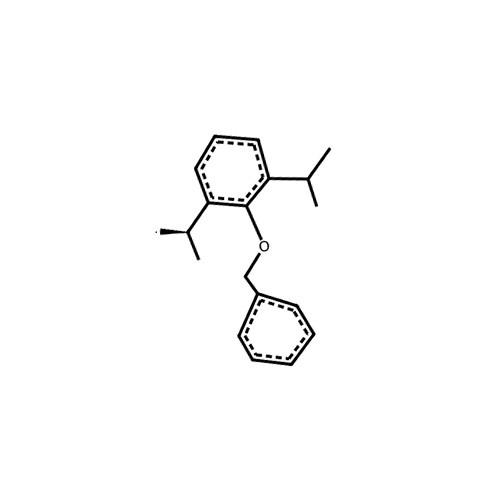 [CH2][C@H](C)c1cccc(C(C)C)c1OCc1ccccc1